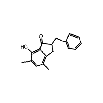 Cc1cc(C)c2c(c1O)C(=O)C(Cc1ccccc1)C2